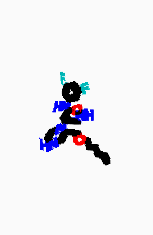 C=CCCCCOCC1CNCCN1/C(C=N)=C/C(=O)Nc1cc(F)cc(F)c1